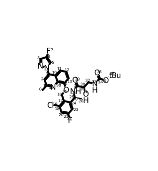 Cc1cc(-n2cc(F)cn2)c2cccc(OCc3c(Cl)cc(F)cc3[C@H](C)NC(=O)[C@H](O)CNC(=O)OC(C)(C)C)c2n1